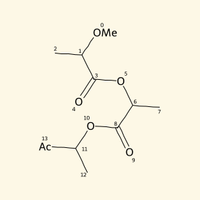 COC(C)C(=O)OC(C)C(=O)OC(C)C(C)=O